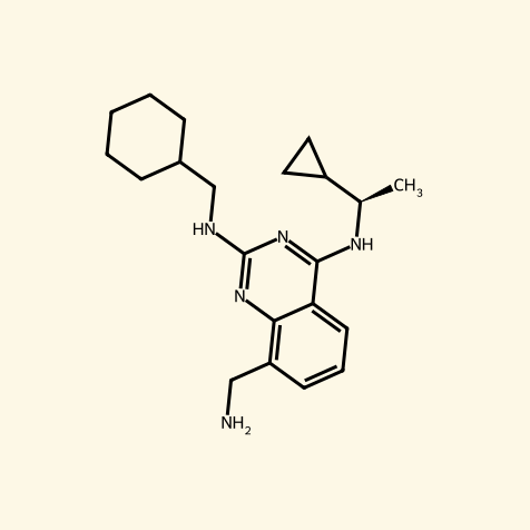 C[C@@H](Nc1nc(NCC2CCCCC2)nc2c(CN)cccc12)C1CC1